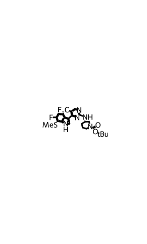 CSc1c(F)ccc2c(-c3nc(N[C@H]4CCCN(C(=O)OC(C)(C)C)C4)ncc3C(F)(F)F)c[nH]c12